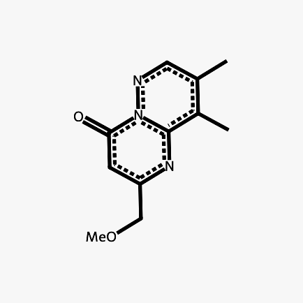 COCc1cc(=O)n2ncc(C)c(C)c2n1